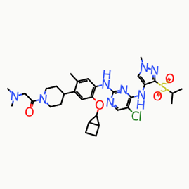 Cc1cc(Nc2ncc(Cl)c(Nc3cn(C)nc3S(=O)(=O)C(C)C)n2)c(OC2C3CCC32)cc1C1CCN(C(=O)CN(C)C)CC1